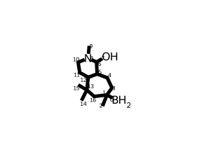 BC1(C)CCC2C(O)N(C)CCC2C(C)(C)C1